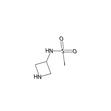 O=S(=O)(I)NC1CNC1